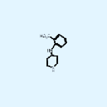 O=C(O)c1ccccc1NC1CCNCC1